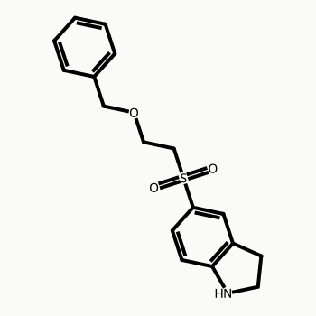 O=S(=O)(CCOCc1ccccc1)c1ccc2c(c1)CCN2